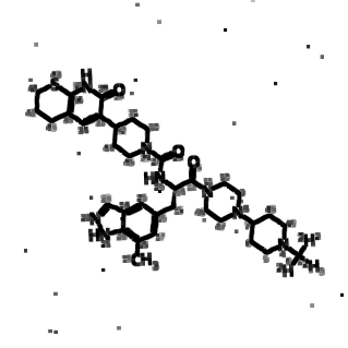 [2H]C([2H])([2H])N1CCC(N2CCN(C(=O)[C@@H](Cc3cc(C)c4[nH]ncc4c3)NC(=O)N3CCC(c4cc5c([nH]c4=O)SCCC5)CC3)CC2)CC1